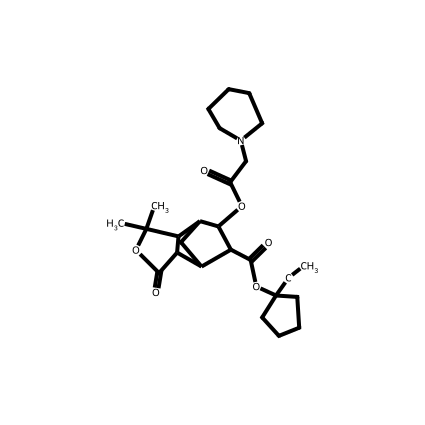 CCC1(OC(=O)C2C3CC(C2OC(=O)CN2CCCCC2)C2C3C(=O)OC2(C)C)CCCC1